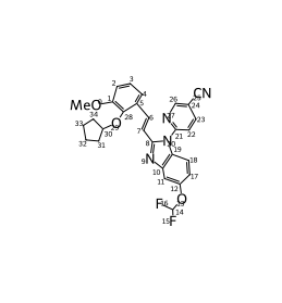 COc1cccc(C=Cc2nc3cc(OC(F)F)ccc3n2-c2ccc(C#N)cn2)c1OC1CCCC1